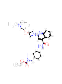 CN(C)CCOC1CN(c2cc(C(=O)NC[C@H]3CC[C@H](CNC(=O)OC(C)(C)C)CC3)c3ccccc3n2)C1